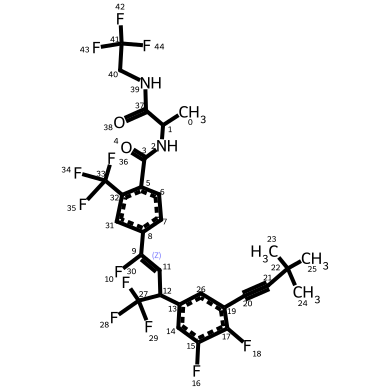 CC(NC(=O)c1ccc(/C(F)=C/C(c2cc(F)c(F)c(C#CC(C)(C)C)c2)C(F)(F)F)cc1C(F)(F)F)C(=O)NCC(F)(F)F